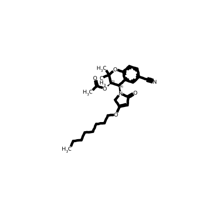 CCCCCCCCOC1=CC(=O)N([C@@H]2c3cc(C#N)ccc3OC(C)(C)[C@H]2OC(C)=O)C1